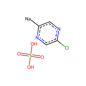 O=S(=O)(O)O.[Na][c]1cnc(Cl)cn1